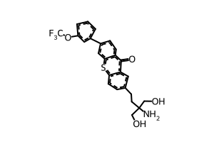 NC(CO)(CO)CCc1ccc2sc3cc(-c4cccc(OC(F)(F)F)c4)ccc3c(=O)c2c1